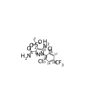 CS(=O)(=O)c1c(C(N)=O)nn(-c2c(Cl)cc(C(F)(F)F)cc2Cl)c1N